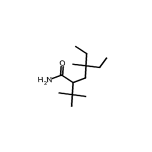 CCC(C)(CC)CC(C(N)=O)C(C)(C)C